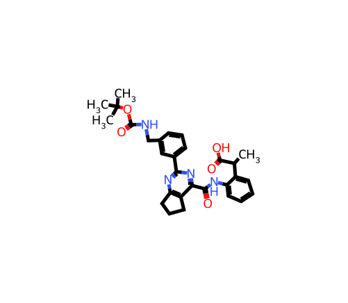 CC(C(=O)O)c1ccccc1NC(=O)c1nc(-c2cccc(CNC(=O)OC(C)(C)C)c2)nc2c1CCC2